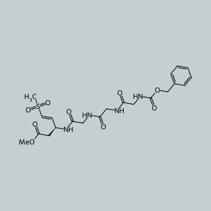 COC(=O)C[C@@H](/C=C/S(C)(=O)=O)NC(=O)CNC(=O)CNC(=O)CNC(=O)OCc1ccccc1